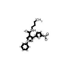 CCCCNC(=O)c1cn(-c2ccccc2)nc1-c1ccc([N+](=O)[O-])o1